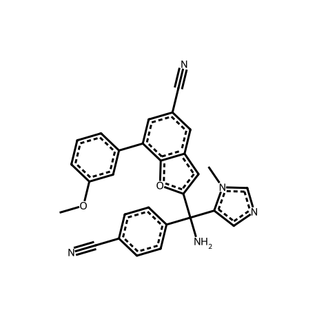 COc1cccc(-c2cc(C#N)cc3cc(C(N)(c4ccc(C#N)cc4)c4cncn4C)oc23)c1